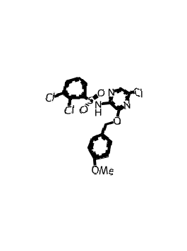 COc1ccc(COc2nc(Cl)cnc2NS(=O)(=O)c2cccc(Cl)c2Cl)cc1